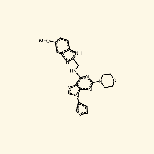 COc1ccc2[nH]c(CNc3nc(N4CCOCC4)nc4c3ncn4-c3ccsc3)nc2c1